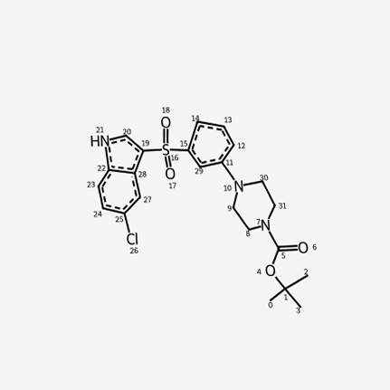 CC(C)(C)OC(=O)N1CCN(c2cccc(S(=O)(=O)c3c[nH]c4ccc(Cl)cc34)c2)CC1